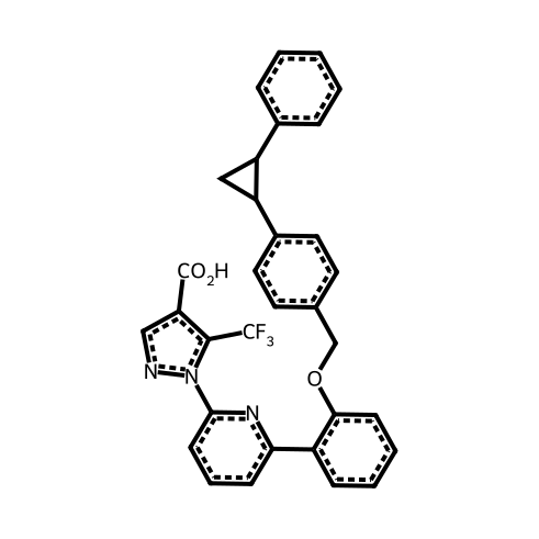 O=C(O)c1cnn(-c2cccc(-c3ccccc3OCc3ccc(C4CC4c4ccccc4)cc3)n2)c1C(F)(F)F